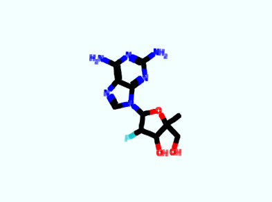 CC1(CO)OC(n2cnc3c(N)nc(N)nc32)C(F)C1O